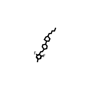 CCCCCC1CCC(C2CCC(CCc3c(F)cc(C)cc3F)CC2)CC1